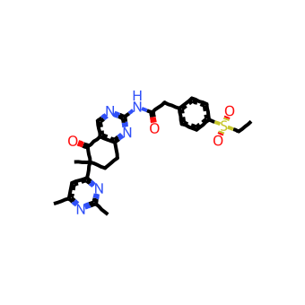 CCS(=O)(=O)c1ccc(CC(=O)Nc2ncc3c(n2)CCC(C)(c2cc(C)nc(C)n2)C3=O)cc1